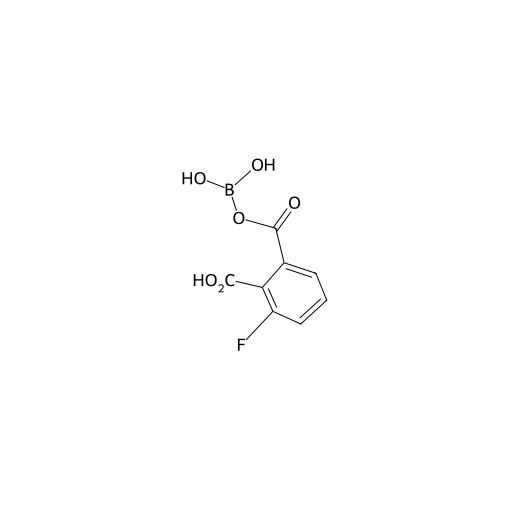 O=C(OB(O)O)c1cccc(F)c1C(=O)O